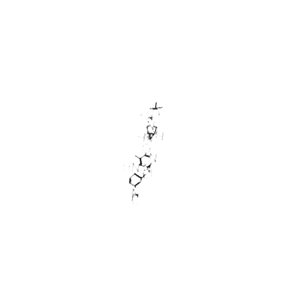 [C-]#[N+]c1ccc(Nc2ncnc(OC[C@@H]3[C@H]4CN(C(=O)OC(C)(C)C)C[C@@H]34)c2C)c(Cl)c1